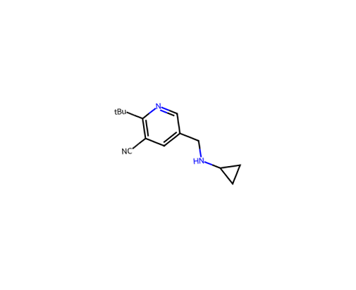 CC(C)(C)c1ncc(CNC2CC2)cc1C#N